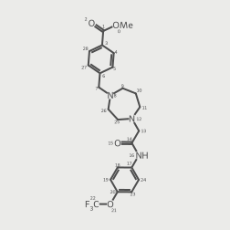 COC(=O)c1ccc(CN2CCCN(CC(=O)Nc3ccc(OC(F)(F)F)cc3)CC2)cc1